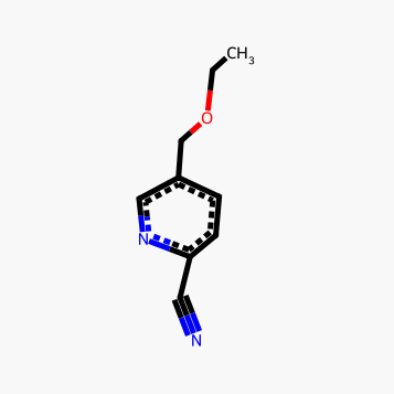 CCOCc1ccc(C#N)nc1